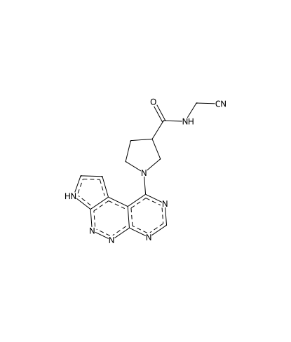 N#CCNC(=O)C1CCN(c2ncnc3nnc4[nH]ccc4c23)C1